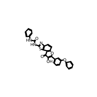 O=C(Nc1ccccc1)Nc1nc2ccc3oc(-c4cccc(Oc5ccccc5)c4)c(O)c(=O)c3c2s1